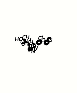 CC(C)(O)CC(=O)NCCn1ccc2ncnc(Nc3ccc(Oc4cccc5sccc45)c(Cl)c3)c21